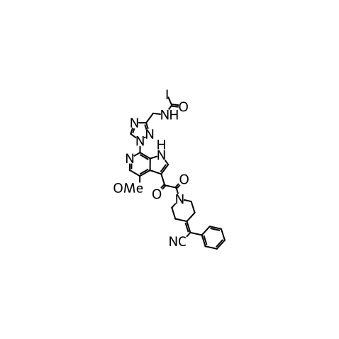 COc1cnc(-n2cnc(CNC(=O)I)n2)c2[nH]cc(C(=O)C(=O)N3CCC(=C(C#N)c4ccccc4)CC3)c12